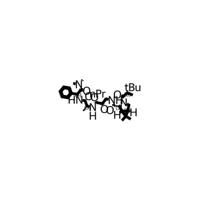 CCCC(NC(=O)[C@@H]1[C@@H]2[C@H](CN1C(=O)[C@@H](C)C(C)(C)C)C2(C)C)C(=O)C(=O)N[C@@H](C)C(=O)N[C@H](C(=O)N(C)C)c1ccccc1